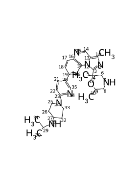 Cc1nc([C@]2(C)CNC[C@@H](C)O2)n2c1cnc1ccc(-c3ccc(N4CCC(NC(C)C)CC4)nc3)cc12